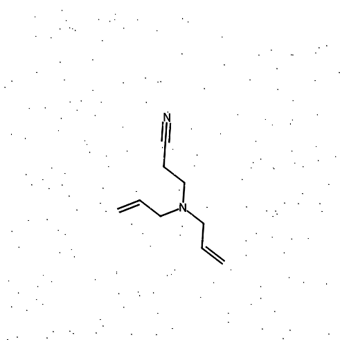 C=CCN(CC=C)CCC#N